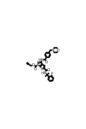 C#CCOC(=O)n1nc(NC(=O)c2ccc(CN3CCOCC3)cc2)c2cc(C(=O)NC(C)(C)c3ccccc3F)sc21